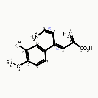 C=C(/C=C(\C=C/N)c1ccc(O[C@@H](C)CC)c(Cl)c1)C(=O)O